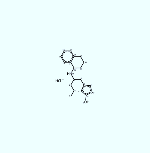 CCCC(Cc1csc(O)c1)NC1CCCc2ccccc21.Cl